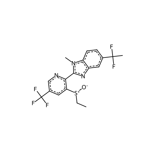 CC[S+]([O-])c1cc(C(F)(F)F)cnc1-c1nc2cc(C(C)(F)F)ccc2n1C